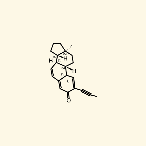 CC#CC1=C[C@@]2(C)C(=CC1=O)C=C[C@H]1[C@@H]3CCC[C@@]3(C)CC[C@@H]12